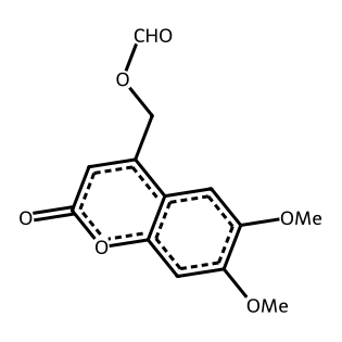 COc1cc2oc(=O)cc(COC=O)c2cc1OC